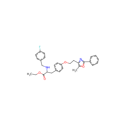 CCOC(=O)C(Cc1ccc(OCCc2nc(-c3ccccc3)oc2C)cc1)NCc1ccc(F)cc1